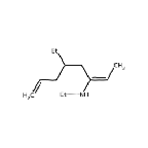 C=CCC(CC)C/C(=C\C)NCC